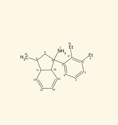 CCc1cccc(C2([SiH3])CC(C)C3C=CC=CC32)c1CC